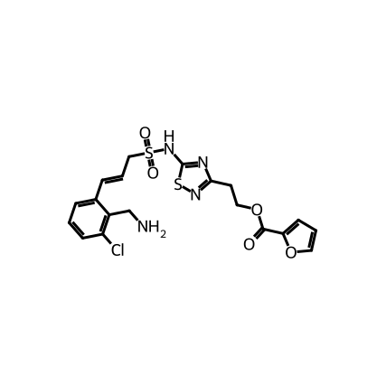 NCc1c(Cl)cccc1C=CCS(=O)(=O)Nc1nc(CCOC(=O)c2ccco2)ns1